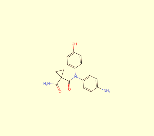 NC(=O)C1(C(=O)N(c2ccc(N)cc2)c2ccc(O)cc2)CC1